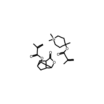 C=C(C)C(=O)OC1(C)CC[Si](C)(C)CC1.C=C(C)C(=O)OC1C2CC3C(=O)OC1C3C2